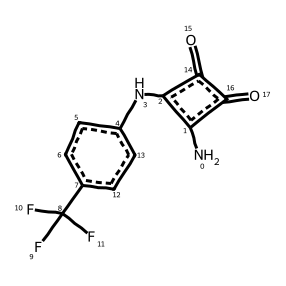 Nc1c(Nc2ccc(C(F)(F)F)cc2)c(=O)c1=O